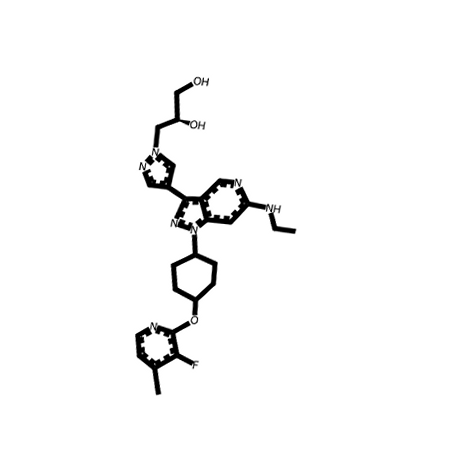 CCNc1cc2c(cn1)c(-c1cnn(C[C@H](O)CO)c1)nn2C1CCC(Oc2nccc(C)c2F)CC1